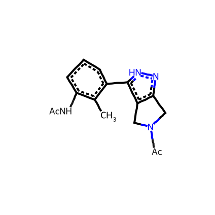 CC(=O)Nc1cccc(-c2[nH]nc3c2CN(C(C)=O)C3)c1C